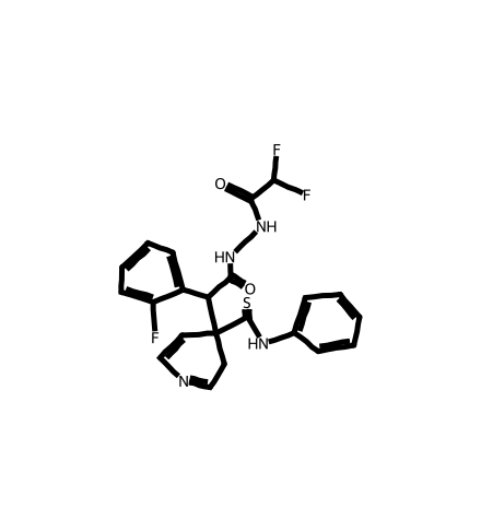 O=C(NNC(=O)C(c1ccccc1F)C1(C(=S)Nc2ccccc2)C=CN=CC1)C(F)F